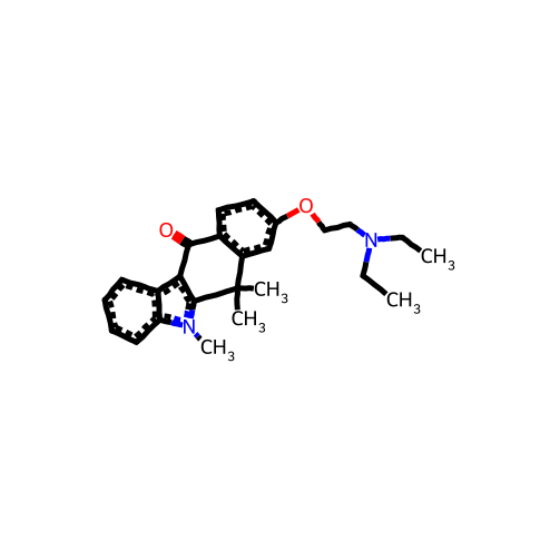 CCN(CC)CCOc1ccc2c(c1)C(C)(C)c1c(c3ccccc3n1C)C2=O